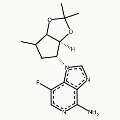 CC1C[C@@H](n2cnc3c(N)ncc(F)c32)[C@@H]2OC(C)(C)OC12